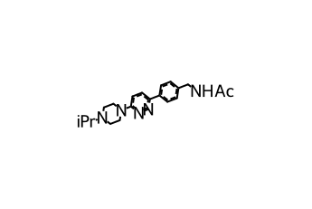 CC(=O)NCc1ccc(-c2ccc(N3CCN(C(C)C)CC3)nn2)cc1